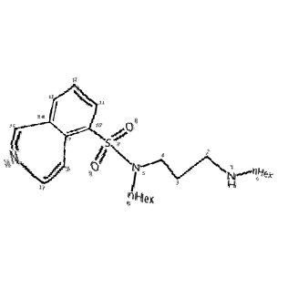 CCCCCCNCCCN(CCCCCC)S(=O)(=O)c1cccc2cnccc12